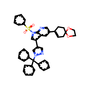 O=S(=O)(c1ccccc1)n1cc(-c2cnn(C(c3ccccc3)(c3ccccc3)c3ccccc3)c2)c2cc(C3=CCC4(CC3)OCCO4)cnc21